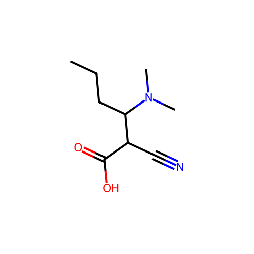 CCCC(C(C#N)C(=O)O)N(C)C